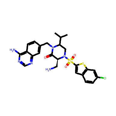 CC(C)C1CN(S(=O)(=O)c2cc3ccc(Cl)cc3s2)[C@@H](CN)C(=O)N1Cc1ccc2c(N)ncnc2c1